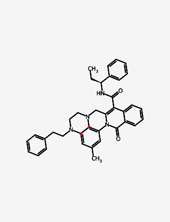 CC[C@H](NC(=O)c1c(CN2CCN(CCc3ccccc3)CC2)n(-c2cccc(C)c2)c(=O)c2ccccc12)c1ccccc1